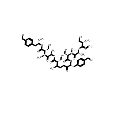 C=S=C(O[C@H](C)C(=O)N(C)[C@@H](CC(C)C)C(=O)O[C@H](Cc1ccc(CCl)cc1)C(=O)CCC(C)[C@@H](CC(C)C)C(=O)O[C@H](C)C(=O)N(C)[C@@H](CC(C)C)C(=O)O[C@@H](C=O)Cc1ccc(CCl)cc1)[C@@H](C)CC(C)C